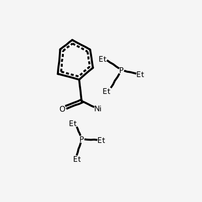 CCP(CC)CC.CCP(CC)CC.O=[C]([Ni])c1ccccc1